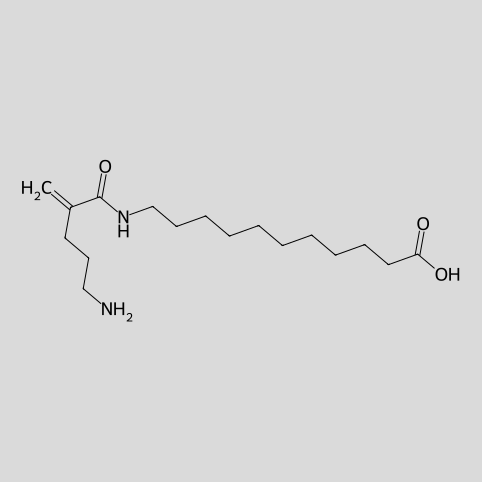 C=C(CCCN)C(=O)NCCCCCCCCCCC(=O)O